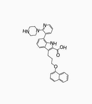 O=C(O)c1[nH]c2c(-c3cccnc3N3CCNCC3)cccc2c1CCCOc1cccc2ccccc12